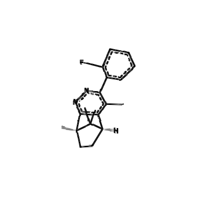 Cc1c(-c2ccccc2F)nnc2c1[C@H]1CC[C@]2(C)C1(C)C